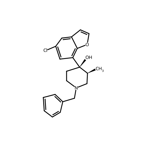 C[C@H]1CN(Cc2ccccc2)CC[C@]1(O)c1cc(Cl)cc2ccoc12